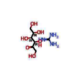 N=C(N)N.O=C(CO)[C@H](O)[C@@H](O)[C@H](O)CO